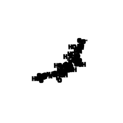 Nc1c(N=Nc2ccc3c(O)c(N=Nc4ccc(N=Nc5ccc(S(=O)(=O)O)cc5)cc4OC=O)c(S(=O)(=O)O)cc3c2S(=O)(=O)O)cc(S(=O)(=O)O)c2ccc(N=Nc3ccc([N+](=O)[O-])cc3C(=O)O)c(O)c12